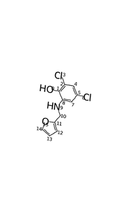 Oc1c(Cl)cc(Cl)cc1NCc1ccco1